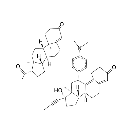 CC#C[C@]1(O)CC[C@H]2[C@@H]3CCC4=CC(=O)CCC4=C3[C@@H](c3ccc(N(C)C)cc3)C[C@@]21C.CC(=O)[C@H]1CC[C@H]2[C@@H]3CCC4=CC(=O)CC[C@]4(C)[C@H]3CC[C@]12C